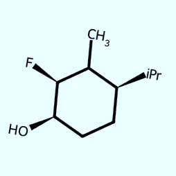 CC(C)[C@H]1CC[C@@H](O)[C@@H](F)C1C